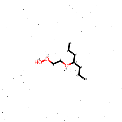 CCCC(CCC)OCCOO